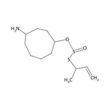 C=CC(C)SS(=O)OC1CCCCC(N)CC1